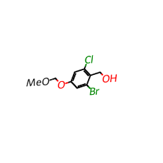 COCOc1cc(Cl)c(CO)c(Br)c1